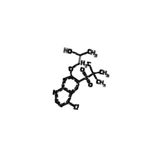 CC(O)COc1cc2nccc(Cl)c2cc1S(=O)(=O)C(C)(C)C